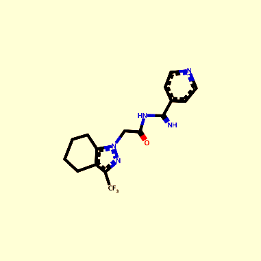 N=C(NC(=O)Cn1nc(C(F)(F)F)c2c1CCCC2)c1ccncc1